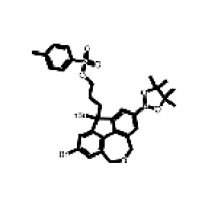 CCCCC1(CCCOS(=O)(=O)c2ccc(C)cc2)c2cc(Br)cc3c2-c2c(cc(B4OC(C)(C)C(C)(C)O4)cc21)COC3